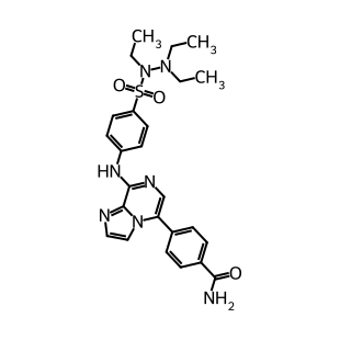 CCN(CC)N(CC)S(=O)(=O)c1ccc(Nc2ncc(-c3ccc(C(N)=O)cc3)n3ccnc23)cc1